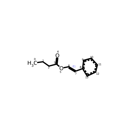 CCCC(=O)O/C=C/c1ccccc1